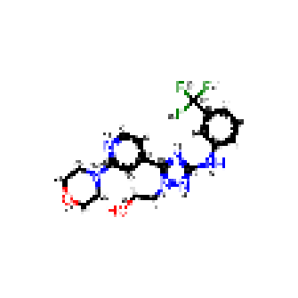 OCCn1nc(Nc2cccc(C(F)(F)F)c2)nc1-c1ccnc(N2CCOCC2)c1